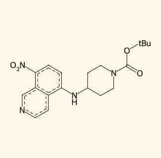 CC(C)(C)OC(=O)N1CCC(Nc2ccc([N+](=O)[O-])c3cnccc23)CC1